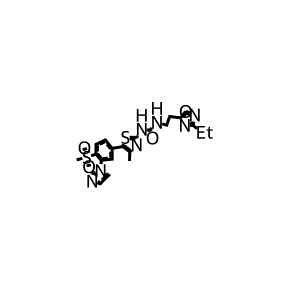 CCc1noc(CCNC(=O)Nc2nc(C)c(-c3ccc(S(C)(=O)=O)c(-n4ccnc4)c3)s2)n1